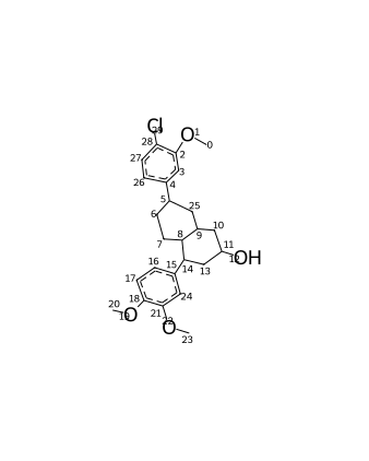 COc1cc(C2CCC3C(CC(O)CC3c3ccc(OC)c(OC)c3)C2)ccc1Cl